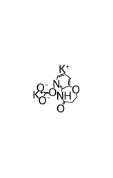 O=C([O-])[O-].O=C1CCOc2cccnc2N1.[K+].[K+]